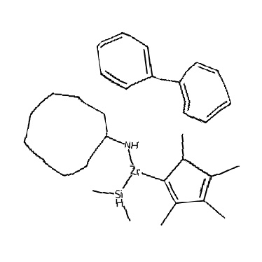 CC1=C(C)C(C)[C]([Zr]([NH]C2CCCCCCCC2)[SiH](C)C)=C1C.c1ccc(-c2ccccc2)cc1